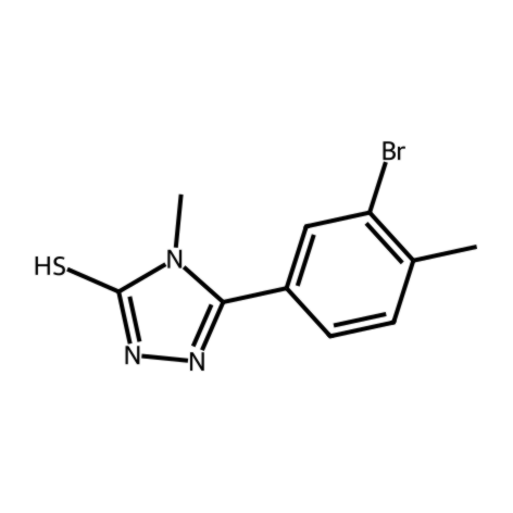 Cc1ccc(-c2nnc(S)n2C)cc1Br